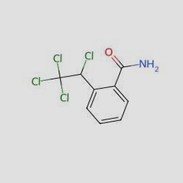 NC(=O)c1ccccc1C(Cl)C(Cl)(Cl)Cl